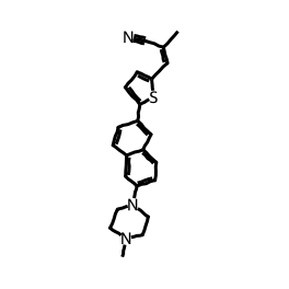 C/C(C#N)=C/c1ccc(-c2ccc3cc(N4CCN(C)CC4)ccc3c2)s1